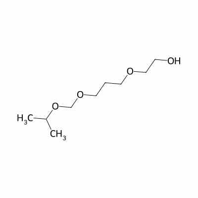 CC(C)OCOCCCOCCO